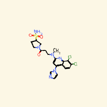 CN(CCC(=O)N1CCC(S(N)(=O)=O)C1)c1cc(-n2ccnc2)c2ccc(Cl)c(Cl)c2n1